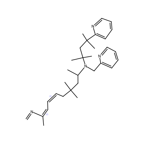 C=N/C(C)=C\C=C/CC(C)(C)CC(C)N(Cc1ccccn1)C(C)(C)CC(C)(C)c1ccccn1